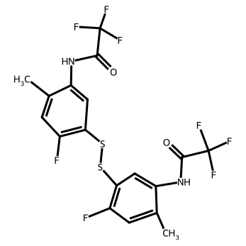 Cc1cc(F)c(SSc2cc(NC(=O)C(F)(F)F)c(C)cc2F)cc1NC(=O)C(F)(F)F